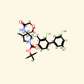 CC1CN(C(=O)OC(C)(C)C)[C@@H](Cc2cccc(-c3cc(F)cc(F)c3)c2F)[C@]12COCC(=O)N2